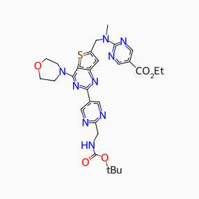 CCOC(=O)c1cnc(N(C)Cc2cc3nc(-c4cnc(CNC(=O)OC(C)(C)C)nc4)nc(N4CCOCC4)c3s2)nc1